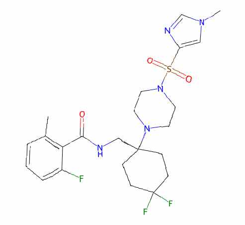 Cc1cccc(F)c1C(=O)NCC1(N2CCN(S(=O)(=O)c3cn(C)cn3)CC2)CCC(F)(F)CC1